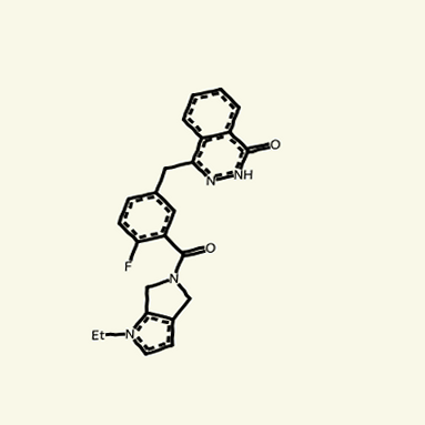 CCn1ccc2c1CN(C(=O)c1cc(Cc3n[nH]c(=O)c4ccccc34)ccc1F)C2